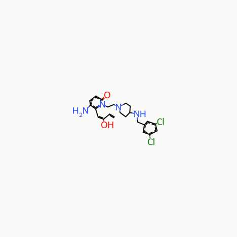 C=C/C(O)=C\c1c(N)ccc(=O)n1CCN1CCC(NCc2cc(Cl)cc(Cl)c2)CC1